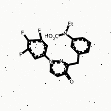 CCN(C(=O)O)c1cccc(Cc2nn(-c3cc(F)c(F)c(F)c3)ccc2=O)c1